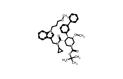 COCCCn1cc(CN(C(=O)[C@H]2CN(C(=O)OC(C)(C)C)C[C@@H](OC)[C@@H]2c2cccc(-c3ccccc3)c2)C2CC2)c2ccccc21